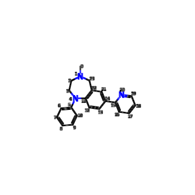 CN1CCN(c2ccccc2)c2ccc(-c3ccccn3)cc2C1